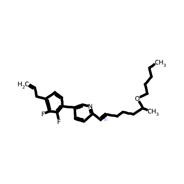 C=CCc1ccc(-c2ccc(/C=C/CCCC(C)OCCCCC)nc2)c(F)c1F